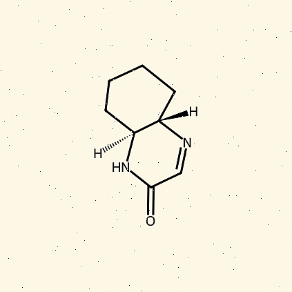 O=C1C=N[C@H]2CCCC[C@@H]2N1